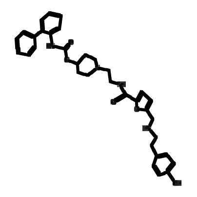 O=C(Nc1ccccc1-c1ccccc1)OC1CCN(CCNC(=O)c2ccc(CNCCc3ccc(O)cc3)o2)CC1